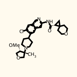 CO[C@H]1COC[C@@]1(C)N1CCC(c2cc3cc(NC(=O)[C@@H]4CC45CCOCC5)ncc3cc2Cl)CC1